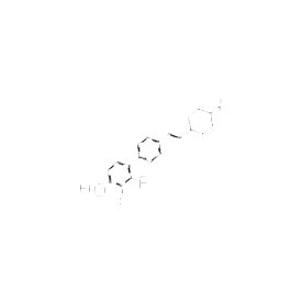 Oc1ccc(-c2ccc(C=CC3CCC(I)CC3)cc2)c(F)c1F